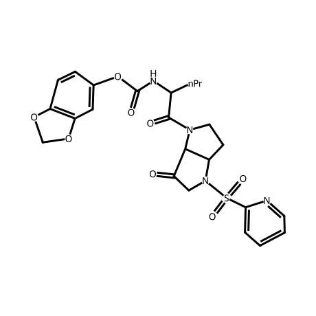 CCCC(NC(=O)Oc1ccc2c(c1)OCO2)C(=O)N1CCC2C1C(=O)CN2S(=O)(=O)c1ccccn1